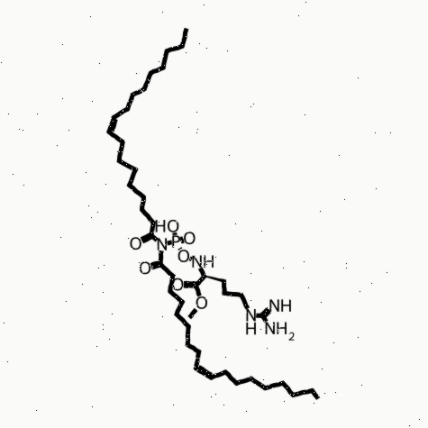 CCCCCCCC/C=C\CCCCCCCC(=O)N(C(=O)CCCCCCC/C=C\CCCCCCCC)P(=O)(O)ON[C@@H](CCCNC(=N)N)C(=O)OC